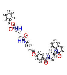 O=C(CCCNC(=O)OCc1ccccc1)NCCCCCOc1ccc(C(=O)N2CCC(N3C(=O)CCc4ccccc43)CC2)cc1